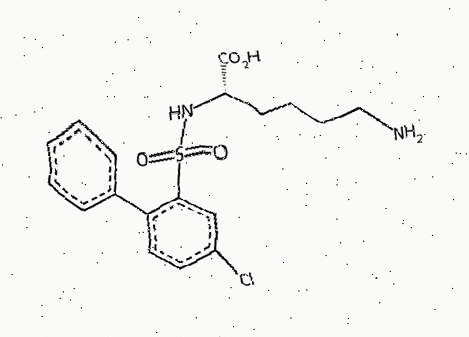 NCCCC[C@H](NS(=O)(=O)c1cc(Cl)ccc1-c1ccccc1)C(=O)O